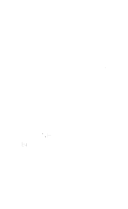 BrNc1cccc(C2COC2)c1